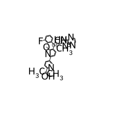 CC(C)(O)c1ccc(-c2ccc3c(n2)Oc2c(F)cccc2[C@@H]3C(C)(C)c2nc3nccnc3[nH]2)cn1